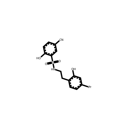 CC(C)c1ccc(CCNS(=O)(=O)c2cc(C#N)ccc2O)c(O)c1